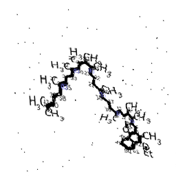 CCOc1c(C)c(C/C=C(\C)C(C)C/C=C(\C)CC/C=C(\C)CC/C=C(\C)C(C)C(C)/C=C(\C)CC/C=C(\C)CCC=C(C)C)c(OCC)c2ccccc12